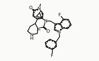 Cn1ccc(C2CCNC[C@@H]2C(=O)N(Cc2cn(Cc3cccc(F)c3)c3cccc(F)c23)C2CC2)cc1=O